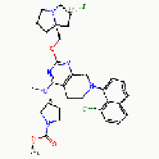 CN(c1nc(OC[C@@]23CCCN2C[C@H](F)C3)nc2c1CCN(c1cccc3cccc(Cl)c13)C2)[C@@H]1CCN(C(=O)OC(C)(C)C)C1